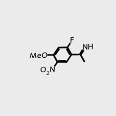 COc1cc(F)c(C(C)=N)cc1[N+](=O)[O-]